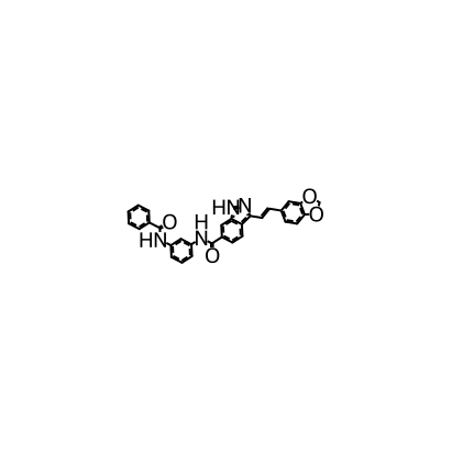 O=C(Nc1cccc(NC(=O)c2ccc3c(C=Cc4ccc5c(c4)OCO5)n[nH]c3c2)c1)c1ccccc1